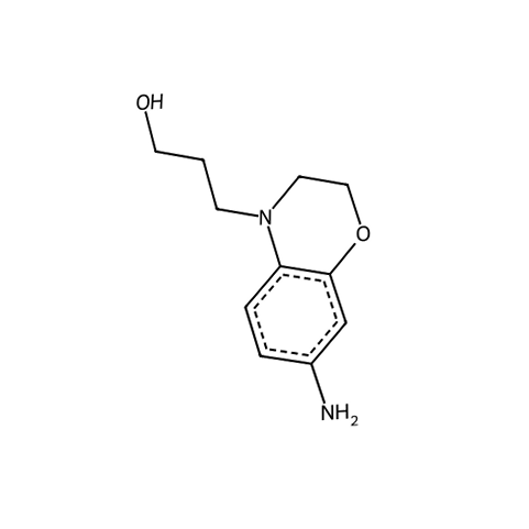 Nc1ccc2c(c1)OCCN2CCCO